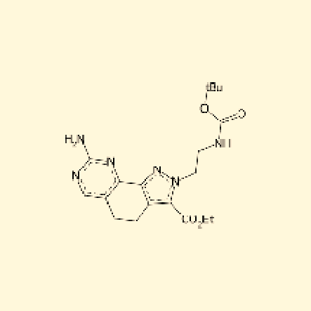 CCOC(=O)c1c2c(nn1CCNC(=O)OC(C)(C)C)-c1nc(N)ncc1CC2